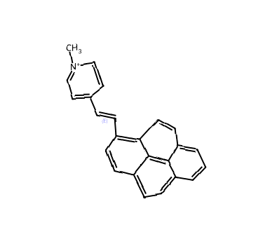 C[n+]1ccc(/C=C/c2ccc3ccc4cccc5ccc2c3c45)cc1